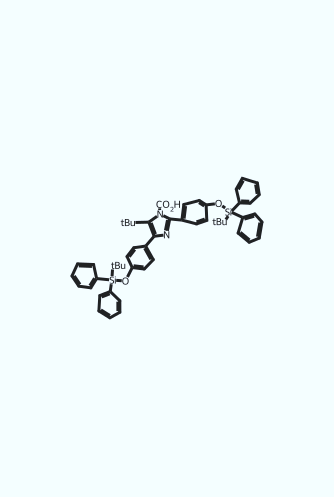 CC(C)(C)c1c(-c2ccc(O[Si](c3ccccc3)(c3ccccc3)C(C)(C)C)cc2)nc(-c2ccc(O[Si](c3ccccc3)(c3ccccc3)C(C)(C)C)cc2)n1C(=O)O